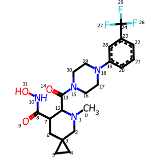 CN1CC2(CC2)CC(C(=O)NO)C1C(=O)N1CCN(c2cccc(C(F)(F)F)c2)CC1